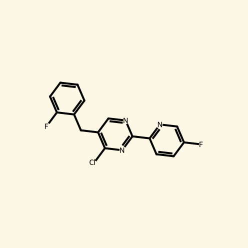 Fc1ccc(-c2ncc(Cc3ccccc3F)c(Cl)n2)nc1